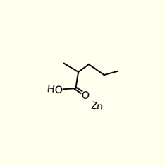 CCCC(C)C(=O)O.[Zn]